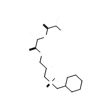 CC(C)[C@H](N)C(=O)[AsH][C@@H](C)C(=O)NC[C@H](O)CP(=O)(O)CC1CCCCC1.O